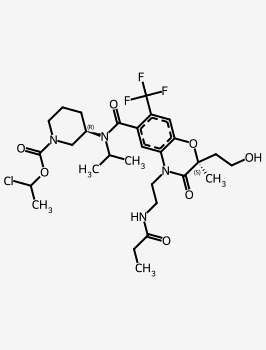 CCC(=O)NCCN1C(=O)[C@](C)(CCO)Oc2cc(C(F)(F)F)c(C(=O)N(C(C)C)[C@@H]3CCCN(C(=O)OC(C)Cl)C3)cc21